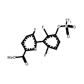 COC(=O)c1ccc(F)c(-c2c(F)ccc(OS(=O)(=O)C(F)(F)F)c2F)n1